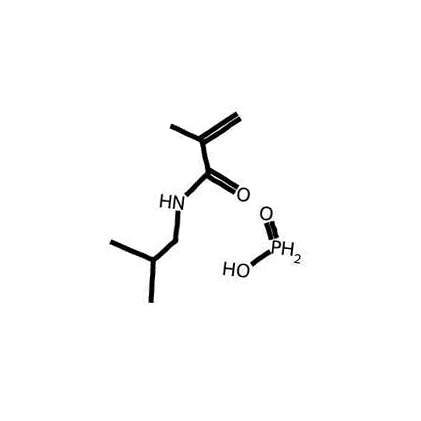 C=C(C)C(=O)NCC(C)C.O=[PH2]O